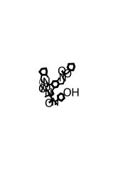 COC[C@@H]1Cc2ccccc2CN1C(=O)c1cc2c(cc1-c1cc(C(=O)N(C)c3ccc(O)cc3)c(C)n1C)CCN(C(=O)Oc1ccccc1)C2